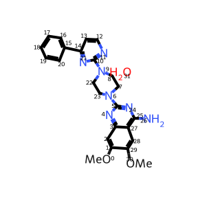 COc1cc2nc(N3CCN(c4nccc(-c5ccccc5)n4)CC3)nc(N)c2cc1OC.O